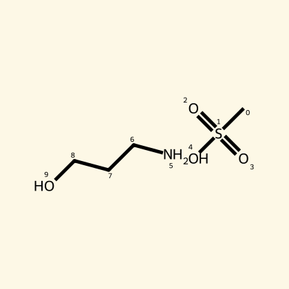 CS(=O)(=O)O.NCCCO